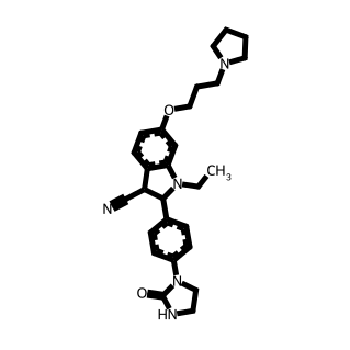 CCN1c2cc(OCCCN3CCCC3)ccc2C(C#N)C1c1ccc(N2CCNC2=O)cc1